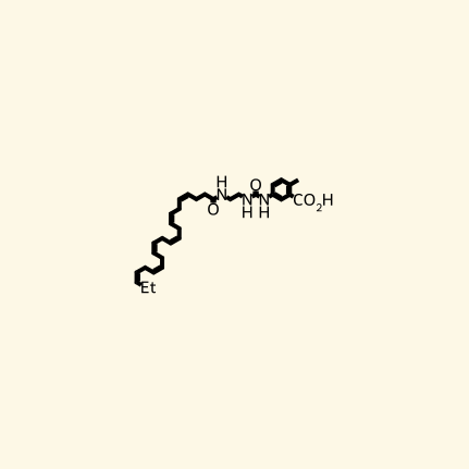 CC/C=C\C/C=C\C/C=C\C/C=C\C/C=C\C/C=C\CCC(=O)NCCNC(=O)Nc1ccc(C)c(C(=O)O)c1